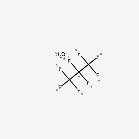 FC(F)(F)C(F)(F)C(F)(F)F.O